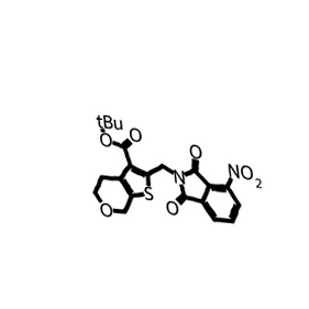 CC(C)(C)OC(=O)c1c(CN2C(=O)c3cccc([N+](=O)[O-])c3C2=O)sc2c1CCOC2